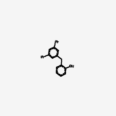 CC(C)c1cc(Cc2ccccc2O)cc(C(C)C)c1